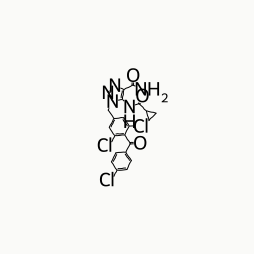 NC(=O)c1nnn(Cc2cc(Cl)c(C(=O)c3ccc(Cl)cc3)c(Cl)c2)c1NC(=O)C1CC1